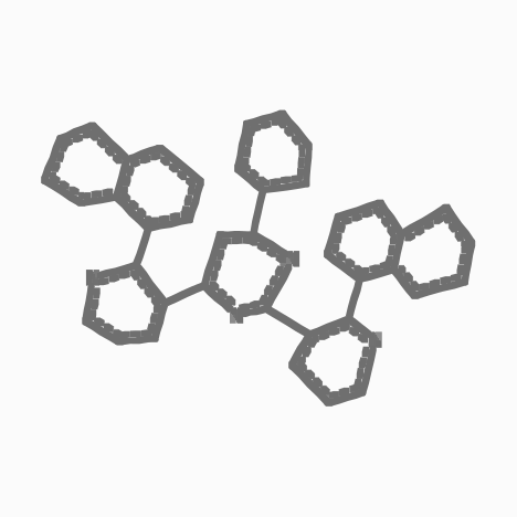 c1ccc(-c2cc(-c3cccnc3-c3cccc4ccccc34)nc(-c3cccnc3-c3cccc4ccccc34)n2)cc1